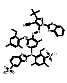 CCc1cc(C)cc(C)c1Nc1nc(N(c2nc3ccc(S(=O)(=O)O)cc3s2)c2c(C)cc(C)c(S(=O)(=O)O)c2CC)cc(C)c1N=Nc1c(C#N)c(C(C)(C)C)nn1-c1nc2ccccc2s1